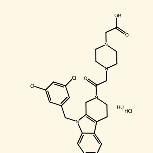 Cl.Cl.O=C(O)CN1CCN(CC(=O)N2CCc3c(n(Cc4cc(Cl)cc(Cl)c4)c4ccccc34)C2)CC1